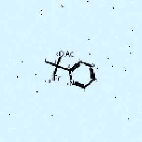 CC(=O)OC(C)(c1ccccn1)C(C)C